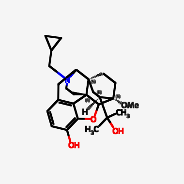 CO[C@@]12CC[C@@]3(C[C@@H]1C(C)(C)O)C1Cc4ccc(O)c5c4[C@@]3(CCN1CC1CC1)C2O5